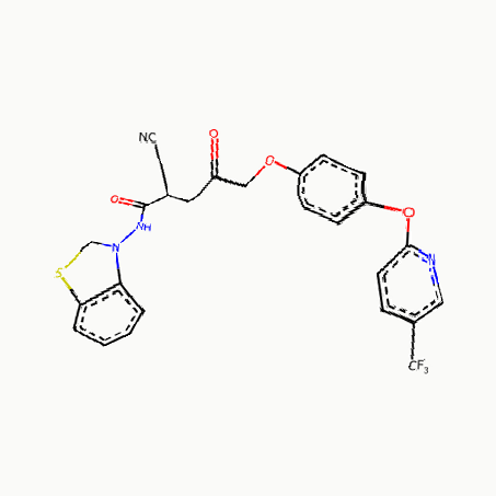 N#CC(CC(=O)COc1ccc(Oc2ccc(C(F)(F)F)cn2)cc1)C(=O)NN1CSc2ccccc21